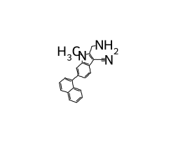 Cn1c(CN)c(C#N)c2ccc(-c3cccc4ccccc34)cc21